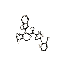 O=C(c1nnc(-c2ncccc2F)o1)N1CCc2[nH]cnc2[C@H]1c1cc2ccccc2o1